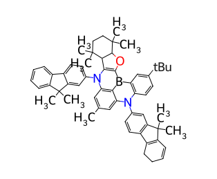 Cc1cc2c3c(c1)N(c1ccc4c(c1)C(C)(C)C1=C4CCC=C1)c1ccc(C(C)(C)C)cc1B3C1=C(C3C(O1)C(C)(C)CCC3(C)C)N2c1ccc2c(c1)C(C)(C)c1ccccc1-2